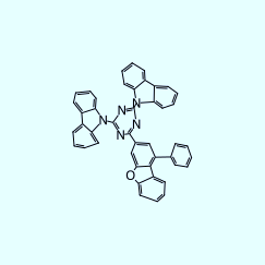 c1ccc(-c2cc(-c3nc(-n4c5ccccc5c5ccccc54)nc(-n4c5ccccc5c5ccccc54)n3)cc3oc4ccccc4c23)cc1